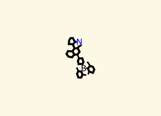 Cc1cccc(C)c1B(c1ccc(-c2cc3cnc4ccccc4c3c3ccccc23)cc1)c1c(C)cccc1C